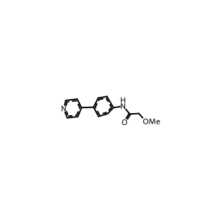 COCC(=O)Nc1ccc(-c2ccncc2)cc1